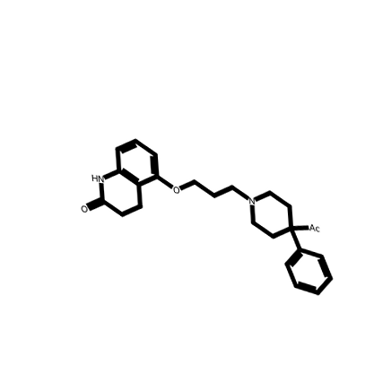 CC(=O)C1(c2ccccc2)CCN(CCCOc2cccc3c2CCC(=O)N3)CC1